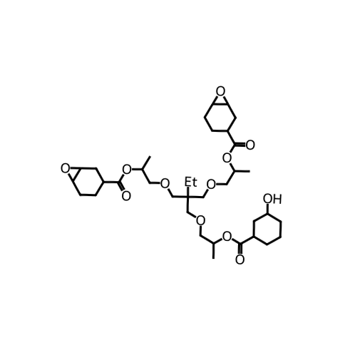 CCC(COCC(C)OC(=O)C1CCCC(O)C1)(COCC(C)OC(=O)C1CCC2OC2C1)COCC(C)OC(=O)C1CCC2OC2C1